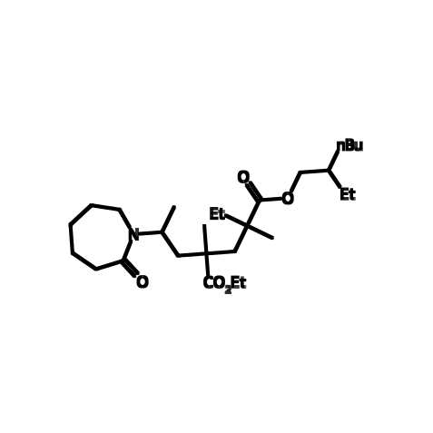 CCCCC(CC)COC(=O)C(C)(CC)CC(C)(CC(C)N1CCCCCC1=O)C(=O)OCC